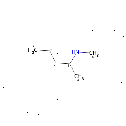 [CH2]CCC(C)NC